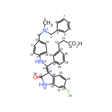 CN(Cc1ccccc1)Cc1ccc(N/C(=C2\C(=O)Nc3cc(F)ccc32)c2cccc(CCC(=O)O)c2)cc1